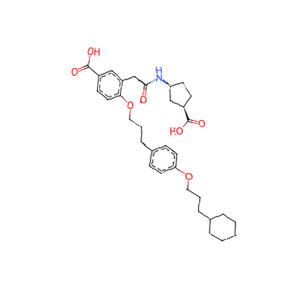 O=C(Cc1cc(C(=O)O)ccc1OCCCc1ccc(OCCCC2CCCCC2)cc1)N[C@H]1CC[C@@H](C(=O)O)C1